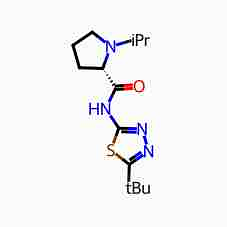 CC(C)N1CCC[C@H]1C(=O)Nc1nnc(C(C)(C)C)s1